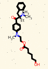 CCC(Cc1ccccc1)(C(=O)c1ccc(N(C)CCOC(=O)CCCCCO)cc1)N(C)C